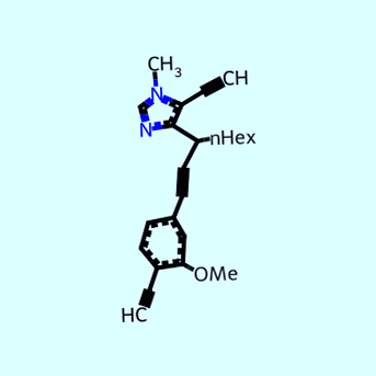 C#Cc1ccc(C#CC(CCCCCC)c2ncn(C)c2C#C)cc1OC